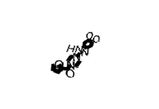 COc1cc2nc(N3CCN(C(=O)c4ccco4)CC3)[nH]c2cc1OC